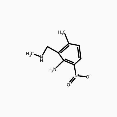 CNCc1c(C)ccc([N+](=O)[O-])c1N